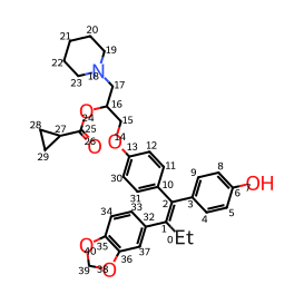 CCC(=C(c1ccc(O)cc1)c1ccc(OCC(CN2CCCCC2)OC(=O)C2CC2)cc1)c1ccc2c(c1)OCO2